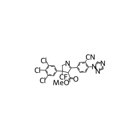 COC(=O)C1C(c2ccc(-n3cncn3)c(C#N)c2)=NCC1(c1cc(Cl)c(Cl)c(Cl)c1)C(F)(F)F